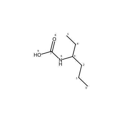 CCCC(CC)NC(=O)O